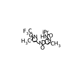 Cc1cc2c(c(NC(=O)C(C)C)n1)CN(Cc1cnc(OCC(F)(F)F)c(C)c1)C2=O